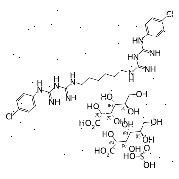 N=C(NCCCCCCNC(=N)NC(=N)Nc1ccc(Cl)cc1)NC(=N)Nc1ccc(Cl)cc1.O=C(O)[C@H](O)[C@@H](O)[C@H](O)[C@H](O)CO.O=C(O)[C@H](O)[C@@H](O)[C@H](O)[C@H](O)CO.O=S(O)O